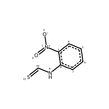 O=[N+]([O-])c1ccccc1N[C]=S